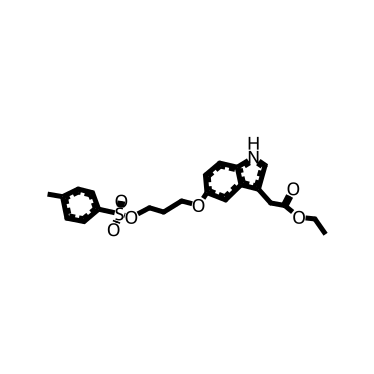 CCOC(=O)Cc1c[nH]c2ccc(OCCCOS(=O)(=O)c3ccc(C)cc3)cc12